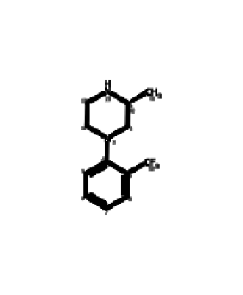 C[C@H]1CN(c2ccccc2C(F)(F)F)CCN1